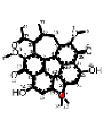 COc1c2c3c4c(c(OC)c(=O)c5c(O)cc(OC)c(c6c(OC)cc(O)c(c1=O)c63)c54)C(C(C)=O)=C(C)C2